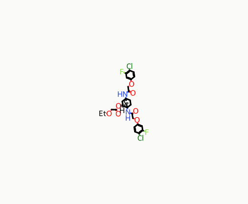 CCOCC(=O)O[C@@H]1CC2(NC(=O)COc3ccc(Cl)c(F)c3)CCC1(NC(=O)COc1ccc(Cl)c(F)c1)CC2